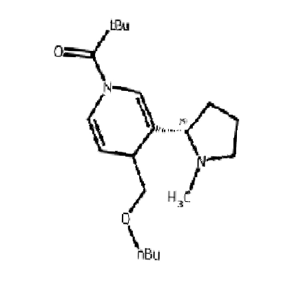 CCCCOCC1C=CN(C(=O)C(C)(C)C)C=C1[C@@H]1CCCN1C